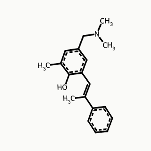 CC(=Cc1cc(CN(C)C)cc(C)c1O)c1ccccc1